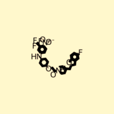 O=C(CO[C@H]1CC[C@H](Nc2ccc([N+](=O)[O-])c(C(F)(F)F)c2)CC1)N1CC2CCC1CN2CC1Cc2cc(F)ccc2O1